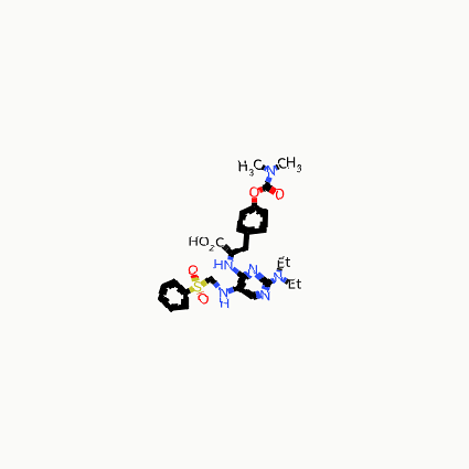 CCN(CC)c1ncc(NCS(=O)(=O)c2ccccc2)c(NC(Cc2ccc(OC(=O)N(C)C)cc2)C(=O)O)n1